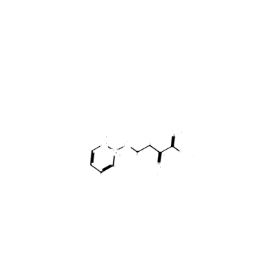 C=C(C)C(=O)CCON1C=CC=CO1